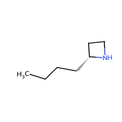 CCCC[C@@H]1CCN1